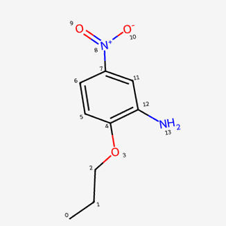 CCCOc1ccc([N+](=O)[O-])cc1N